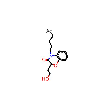 CC(=O)CCCCN1C(=O)C(CCO)Oc2ccccc21